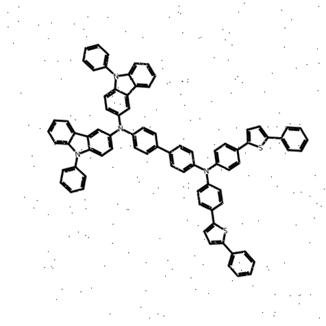 c1ccc(-c2ccc(-c3ccc(N(c4ccc(-c5ccc(N(c6ccc7c(c6)c6ccccc6n7-c6ccccc6)c6ccc7c(c6)c6ccccc6n7-c6ccccc6)cc5)cc4)c4ccc(-c5ccc(-c6ccccc6)s5)cc4)cc3)s2)cc1